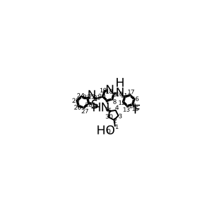 OCC1CCC(Nc2cc(Nc3ccc(F)cc3)ncc2-c2nc3ccccc3s2)C1